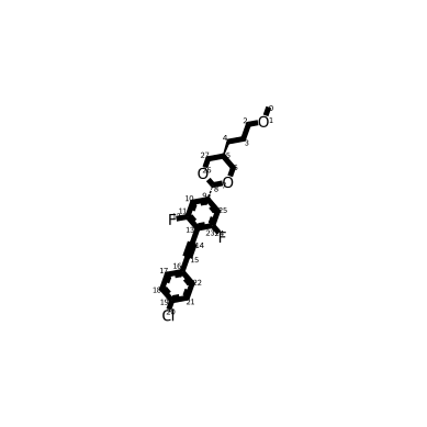 COCCC[C@H]1CO[C@H](c2cc(F)c(C#Cc3ccc(Cl)cc3)c(F)c2)OC1